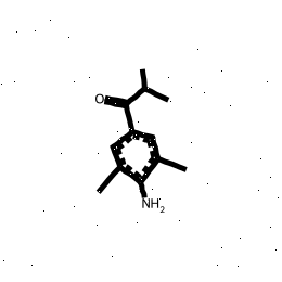 Cc1cc(C(=O)C(C)C)cc(C)c1N